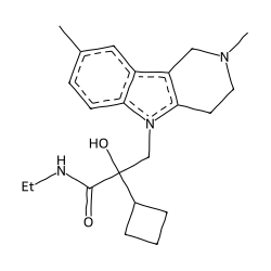 CCNC(=O)C(O)(Cn1c2c(c3cc(C)ccc31)CN(C)CC2)C1CCC1